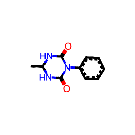 CC1NC(=O)N(c2ccccc2)C(=O)N1